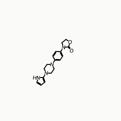 O=C1OCCN1c1ccc(N2CCN(c3ccc[nH]3)CC2)cc1